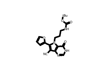 CC(C)(C)OC(=O)NCCCn1c(-c2ccco2)c(C#N)c2nc[nH]c(=O)c21